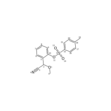 COC(C#N)c1ccccc1OS(=O)(=O)c1ccc(C)cc1